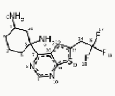 NC1CCCC(N)(c2ncnc3sc(CC(F)(F)F)cc23)C1